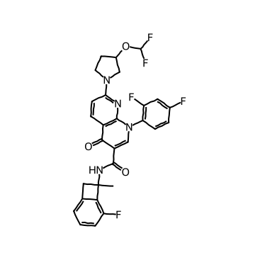 CC1(NC(=O)c2cn(-c3ccc(F)cc3F)c3nc(N4CCC(OC(F)F)C4)ccc3c2=O)Cc2cccc(F)c21